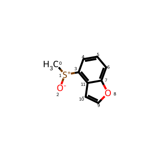 C[S+]([O-])c1cccc2oc[c]c12